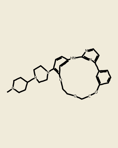 CN1CCC(N2CCN(c3ccc4cc3OCCOCCOc3cccc(c3)-c3ccnc(n3)N4)CC2)CC1